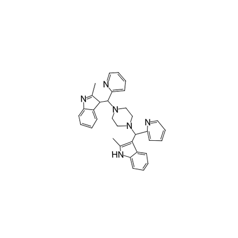 CC1=Nc2ccccc2C1C(c1ccccn1)N1CCN(C(c2ccccn2)c2c(C)[nH]c3ccccc23)CC1